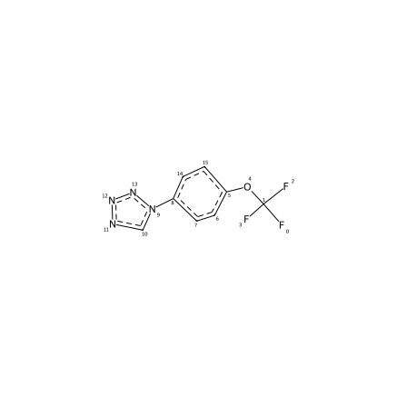 FC(F)(F)Oc1ccc(-n2cnnn2)cc1